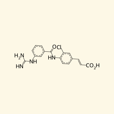 N=C(N)Nc1cccc(C(=O)Nc2ccc(C=CC(=O)O)cc2Cl)c1